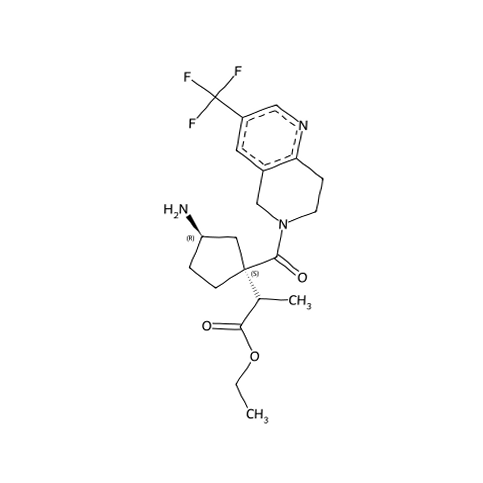 CCOC(=O)C(C)[C@]1(C(=O)N2CCc3ncc(C(F)(F)F)cc3C2)CC[C@@H](N)C1